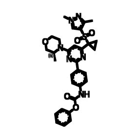 Cc1nn(C)cc1S(=O)(=O)C1(c2cc(N3CCOC[C@@H]3C)nc(-c3ccc(NC(=O)Oc4ccccc4)cc3)n2)CC1